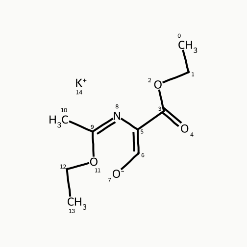 CCOC(=O)C(=C[O-])N=C(C)OCC.[K+]